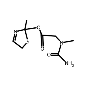 CN(CC(=O)OC1(C)N=CCS1)C(N)=O